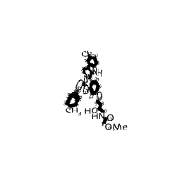 COCC(=O)NCC(O)CCOc1ccc([C@H]2C3Nc4ccc(Cl)cc4C3CCN2C(=O)Oc2ccc(C)cc2)cc1